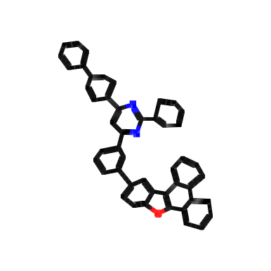 c1ccc(-c2ccc(-c3cc(-c4cccc(-c5ccc6oc7c8ccccc8c8ccccc8c7c6c5)c4)nc(-c4ccccc4)n3)cc2)cc1